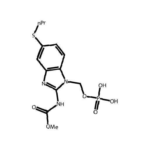 CCCSc1ccc2c(c1)nc(NC(=O)OC)n2COP(=O)(O)O